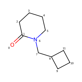 O=C1CCCCN1CC1CCC1